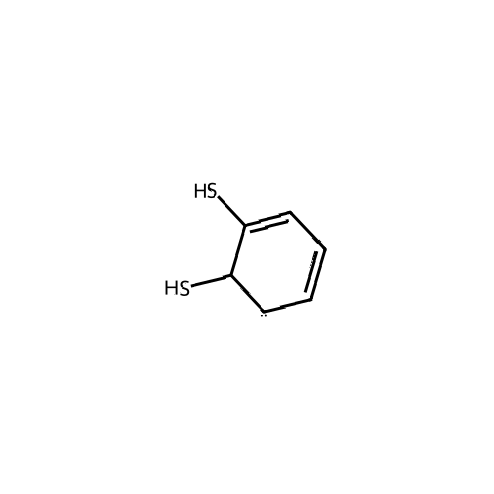 SC1=CC=C[C]C1S